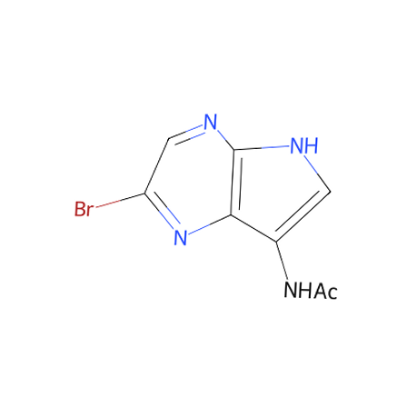 CC(=O)Nc1c[nH]c2ncc(Br)nc12